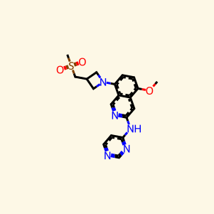 COc1ccc(N2CC(CS(C)(=O)=O)C2)c2cnc(Nc3ccncn3)cc12